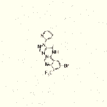 CC(Nc1ncnc2c(C(F)(F)F)cc(Br)cc12)c1ncnn1-c1ccccn1